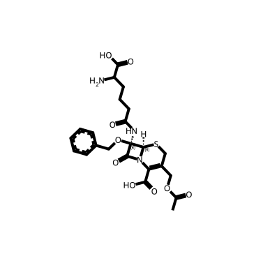 CC(=O)OCC1=C(C(=O)O)N2C(=O)[C@@](NC(=O)CCCC(N)C(=O)O)(OCc3ccccc3)[C@H]2SC1